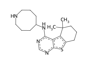 CC1(C)CCCc2sc3ncnc(NC4CCCNCCC4)c3c21